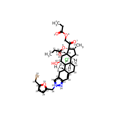 CCC(=O)OCC(=O)[C@@]1(OC(=O)CC)[C@@H](C)C[C@H]2[C@@H]3CCC4=Cc5nn(Cc6ccc(CBr)o6)cc5C[C@]4(C)[C@@]3(Cl)[C@@H](O)C[C@@]21C